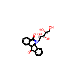 O=C1c2ccccc2-c2c1c1ccccc1c(=O)n2C[C@H](O)[C@@H](O)[C@@H](O)CO